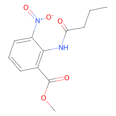 CCCC(=O)Nc1c(C(=O)OC)cccc1[N+](=O)[O-]